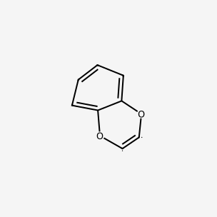 [C]1=[C]Oc2ccccc2O1